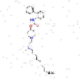 CCCCCCCCCCCCCCCCCCN(C)CCN1CCC(OC(=O)Nc2ccccc2-c2ccccc2)CC1